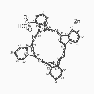 O=S(=O)(O)c1cccc2c3nc4nc(nc5[nH]c(nc6nc(nc([nH]3)c12)-c1ccccc1-6)c1ccccc51)-c1ccccc1-4.[Zn]